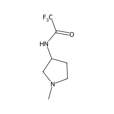 CN1CCC(NC(=O)C(F)(F)F)C1